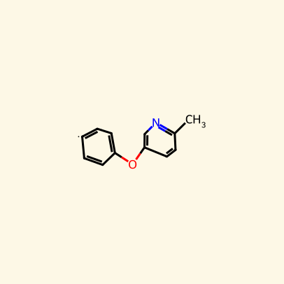 Cc1ccc(Oc2cc[c]cc2)cn1